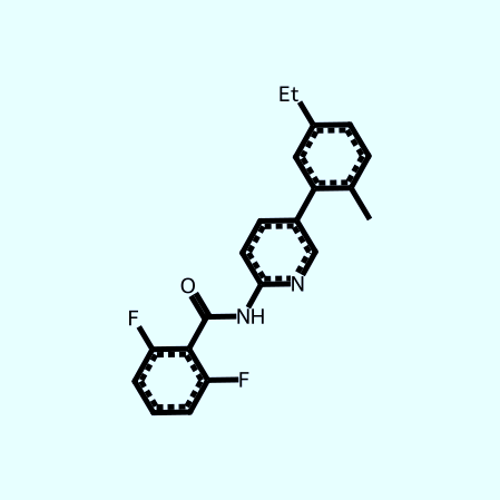 CCc1ccc(C)c(-c2ccc(NC(=O)c3c(F)cccc3F)nc2)c1